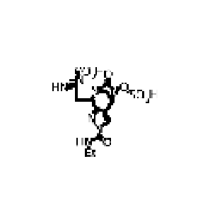 CCNC(=O)n1cc2c(n1)C(CC(=N)NC(=O)O)N1CC2N(OS(=O)(=O)O)C1=O